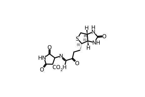 O=C1CC(N=C(C(=O)O)C(=O)CC[C@@H]2SC[C@@H]3NC(=O)N[C@@H]32)C(=O)N1